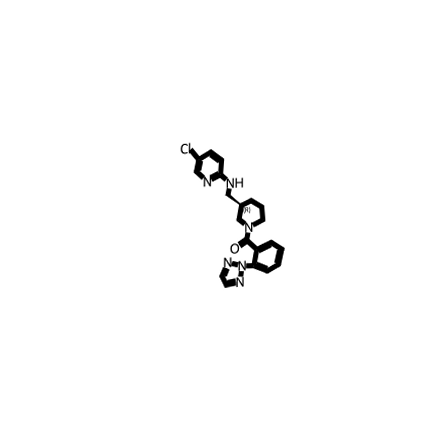 O=C(c1ccccc1-n1nccn1)N1CCC[C@H](CNc2ccc(Cl)cn2)C1